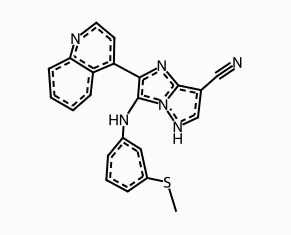 CSc1cccc(Nc2c(-c3ccnc4ccccc34)nc3c(C#N)c[nH]n23)c1